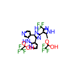 Cc1[nH]nc(C(F)(F)F)c1-c1nc2c([nH]1)-c1ccncc1Nc1ncccc1-2.O=C(O)C(F)(F)F.O=C(O)C(F)(F)F